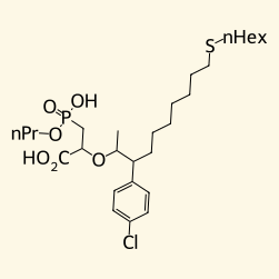 CCCCCCSCCCCCCCC(c1ccc(Cl)cc1)C(C)OC(CP(=O)(O)OCCC)C(=O)O